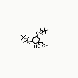 CC(C)(C)[Si](C)(C)OC1CC(O[Si](C)(C)C(C)(C)C)CC(O)(CO)C1